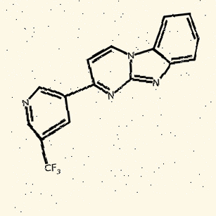 FC(F)(F)c1cncc(-c2ccn3c(n2)nc2ccccc23)c1